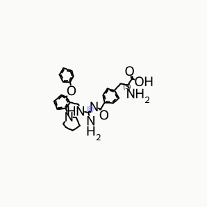 N/C(=N\C(=O)c1ccc(C[C@H](N)C(=O)O)cc1)NCc1c(Oc2ccccc2)cccc1N1CCCCC1